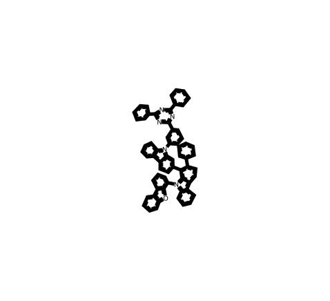 c1ccc(-c2nc(-c3ccccc3)nc(-c3cccc(-n4c5ccccc5c5ccc(-c6c(-c7ccccc7)ccc7c8ccccc8n(-c8cccc9c8oc8ccccc89)c67)cc54)c3)n2)cc1